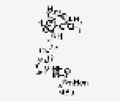 CCCCCCCCCN(CC(C)(C)C)C(=O)NNC1CCCCC1OC(=O)CCNC(=O)C1OC(C)(C)OCC1(C)C